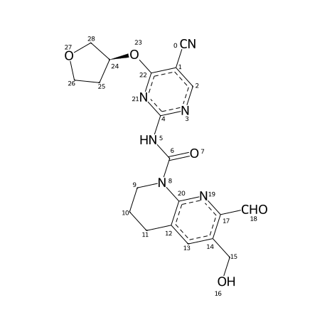 N#Cc1cnc(NC(=O)N2CCCc3cc(CO)c(C=O)nc32)nc1O[C@H]1CCOC1